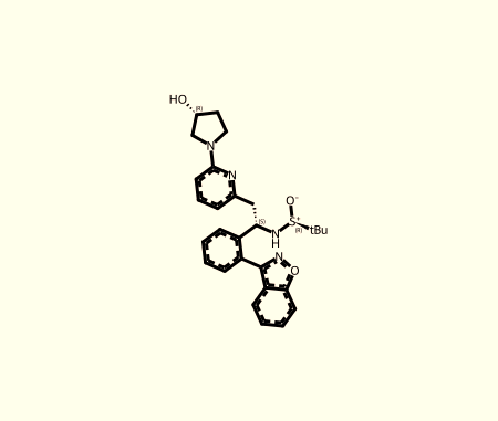 CC(C)(C)[S@+]([O-])N[C@@H](Cc1cccc(N2CC[C@@H](O)C2)n1)c1ccccc1-c1noc2ccccc12